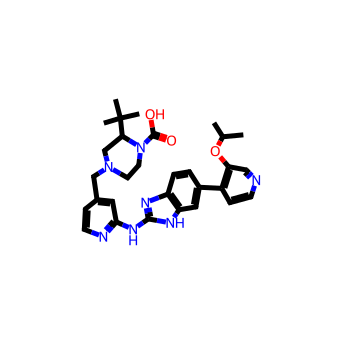 CC(C)Oc1cnccc1-c1ccc2nc(Nc3cc(CN4CCN(C(=O)O)C(C(C)(C)C)C4)ccn3)[nH]c2c1